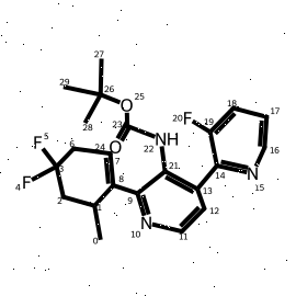 CC1CC(F)(F)CC=C1c1nccc(-c2ncccc2F)c1NC(=O)OC(C)(C)C